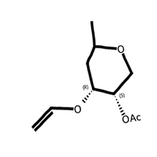 C=CO[C@@H]1CC(C)OC[C@@H]1OC(C)=O